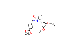 COC(=O)c1ccc(CNC(=O)C2CCCC2Cc2cc(OC)cc(OC)c2)cc1